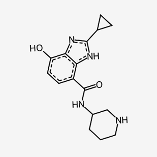 O=C(NC1CCCNC1)c1ccc(O)c2nc(C3CC3)[nH]c12